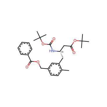 Cc1ccc(COC(=O)c2ccccc2)cc1C[C@@H](CC(=O)OC(C)(C)C)NC(=O)OC(C)(C)C